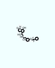 C[C@H](Cc1cccc(OCC(F)(F)c2ccccc2)c1)NC[C@H](O)c1ccc(O)c2[nH]c(=O)ccc12